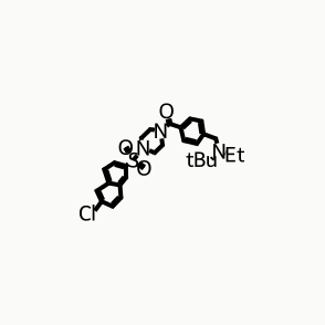 CCN(Cc1ccc(C(=O)N2CCN(S(=O)(=O)c3ccc4cc(Cl)ccc4c3)CC2)cc1)C(C)(C)C